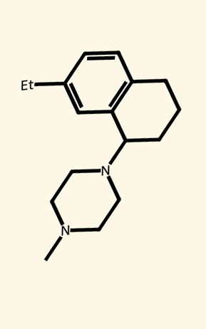 CCc1ccc2c(c1)C(N1CCN(C)CC1)CCC2